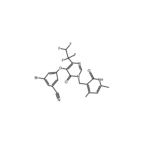 Cc1cc(C)c(Cn2cnc(C(F)(F)C(F)F)c(Oc3cc(Br)cc(C#N)c3)c2=O)c(=O)[nH]1